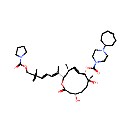 C/C(=C\C=C\C(C)(C)COC(=O)N1CCCC1)[C@H]1OC(=O)C[C@H](O)CC[C@@](C)(O)[C@@H](OC(=O)N2CCN(C3CCCCCC3)CC2)/C=C/[C@@H]1C